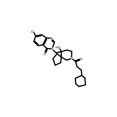 O=C(CCC1CCCCC1)N1CCC(O)(Cn2cnc3cc(Cl)ccc3c2=O)C2(CCCC2)C1